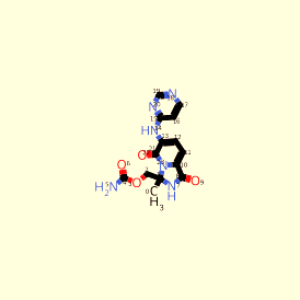 CC1(COC(N)=O)NC(=O)c2ccc(Nc3ccncn3)c(=O)n21